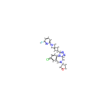 Fc1cccc(N2CC3(CC(c4nnc5n4-c4ccc(Cl)cc4CN([C@@H]4CCOC4)C5)C3)C2)n1